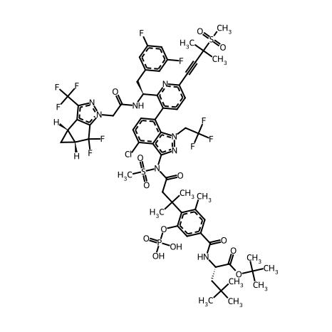 Cc1cc(C(=O)N[C@@H](CC(C)(C)C)C(=O)OC(C)(C)C)cc(OP(=O)(O)O)c1C(C)(C)CC(=O)N(c1nn(CC(F)(F)F)c2c(-c3ccc(C#CC(C)(C)S(C)(=O)=O)nc3[C@H](Cc3cc(F)cc(F)c3)NC(=O)Cn3nc(C(F)(F)F)c4c3C(F)(F)[C@@H]3C[C@H]43)ccc(Cl)c12)S(C)(=O)=O